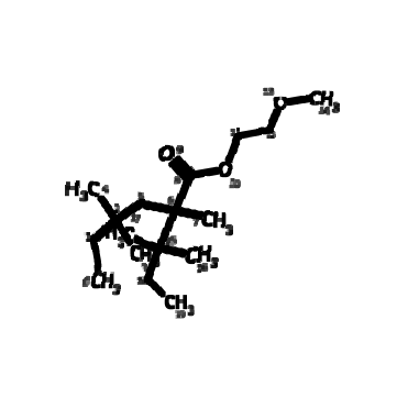 CCC(C)(C)CC(C)(C(=O)OCCOC)C(C)(C)CC